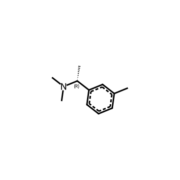 Cc1cccc([C@@H](C)N(C)C)c1